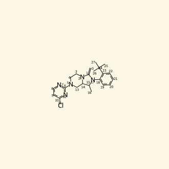 C=C1N2CCN(c3nccc(Cl)n3)CC2C(C)N1c1ccccc1C(C)(C)C